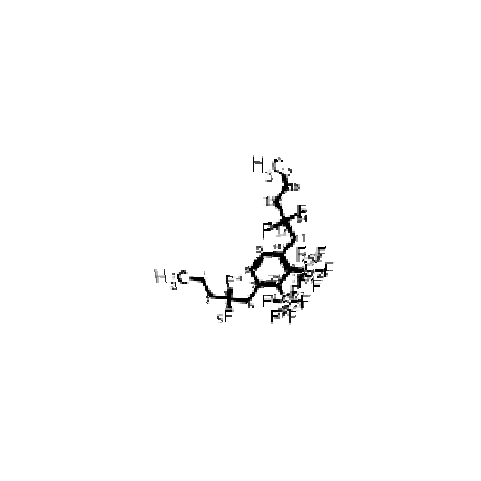 CCCC(F)(F)Cc1ccc(CC(F)(F)CCC)c(S(F)(F)(F)(F)F)c1S(F)(F)(F)(F)F